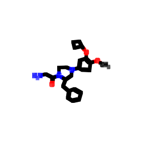 COc1ccc(N2CCN(C(=O)CN)C(Cc3ccccc3)C2)cc1OC1CCC1